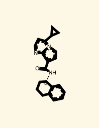 O=C(N[C@H]1CCCc2ccccc21)c1ccn2c(C3CC3)ccnc12